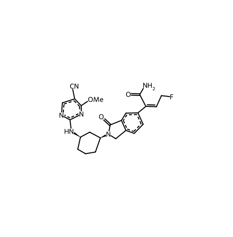 COc1nc(N[C@@H]2CCC[C@H](N3Cc4ccc(C(=CCF)C(N)=O)cc4C3=O)C2)ncc1C#N